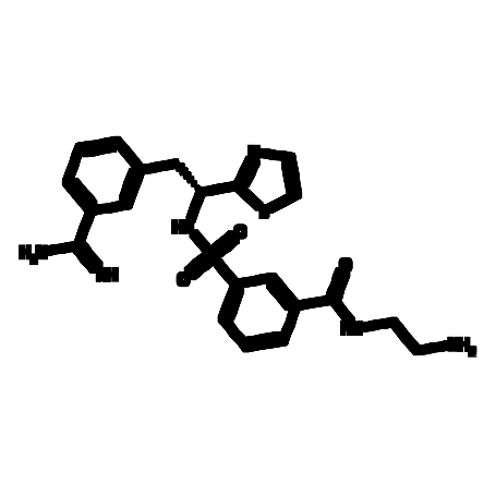 N=C(N)c1cccc(C[C@@H](NS(=O)(=O)c2cccc(C(=O)NCCN)c2)c2nccs2)c1